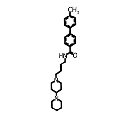 Cc1ccc(-c2ccc(C(=O)NC/C=C/CN3CCC(N4CCCCC4)CC3)cc2)cc1